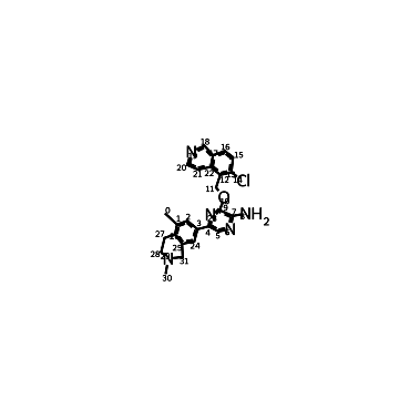 Cc1cc(-c2cnc(N)c(OCc3c(Cl)ccc4cnccc34)n2)cc2c1CCN(C)C2